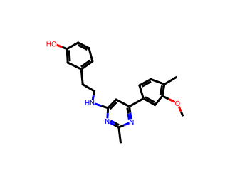 COc1cc(-c2cc(NCCc3cccc(O)c3)nc(C)n2)ccc1C